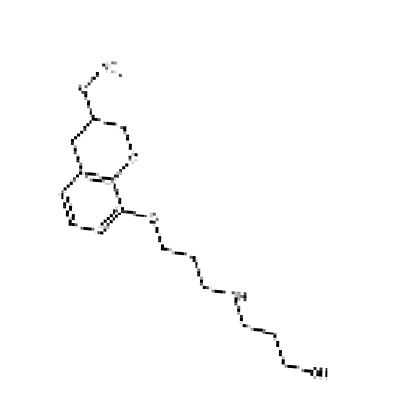 O=[N+]([O-])OC1COc2c(cccc2OCCCNCCCO)C1